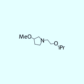 COC1CCN(CCOC(C)C)C1